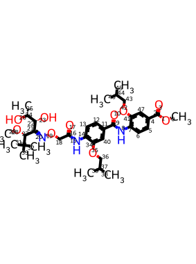 COC(=O)c1ccc(NC(=O)c2ccc(NC(=O)CO/N=C(\[C@@H](O)[C@@H](C)O)[C@@H](OC)C(C)(C)C)c(OCC(C)C)c2)c(OCC(C)C)c1